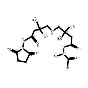 CCC(=O)N(OC(=O)CC(C)(C)COCC(C)(C)CC(=O)ON1C(=O)CCC1=O)C(C)=O